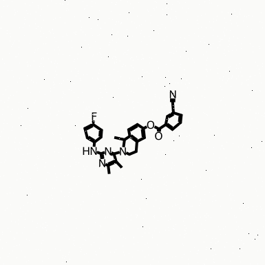 Cc1nc(Nc2ccc(F)cc2)nc(N2CCc3cc(OC(=O)c4cccc(C#N)c4)ccc3C2C)c1C